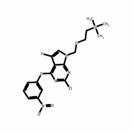 C[Si](C)(C)CCOCn1cc(F)c2c(Oc3cccc([N+](=O)[O-])c3)nc(Cl)nc21